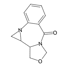 O=C1c2ccccc2N2CC2C2COCN12